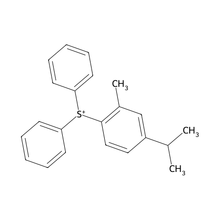 Cc1cc(C(C)C)ccc1[S+](c1ccccc1)c1ccccc1